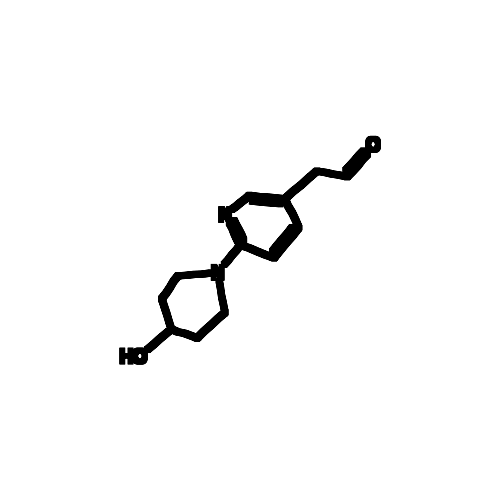 O=CCc1ccc(N2CCC(O)CC2)nc1